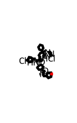 CN(Cc1ccccc1)C(=O)C1CCC(N[C@H](Cc2ccc(Cl)cc2)C(=O)N2CCC(Cn3cncn3)(C3CCCCC3)CC2)CC1.Cl